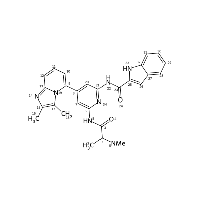 CNC(C)C(=O)Nc1cc(-c2cccc3nc(C)c(C)n23)cc(NC(=O)c2cc3ccccc3[nH]2)n1